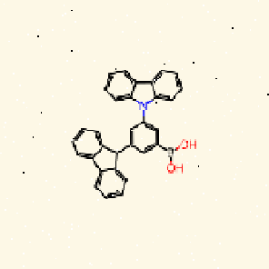 OB(O)c1cc(C2c3ccccc3-c3ccccc32)cc(-n2c3ccccc3c3ccccc32)c1